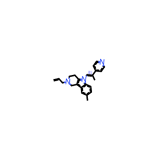 C=CCN1CCc2c(c3cc(C)ccc3n2/C=C(\C)c2ccncc2)C1